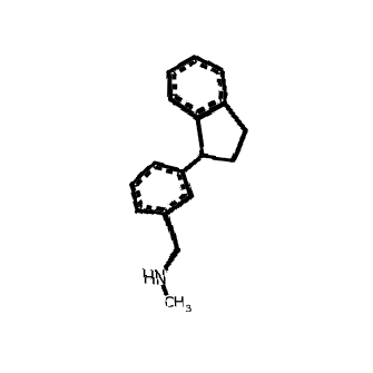 CNCc1cccc(C2CCc3ccccc32)c1